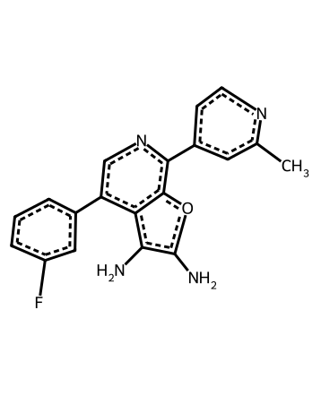 Cc1cc(-c2ncc(-c3cccc(F)c3)c3c(N)c(N)oc23)ccn1